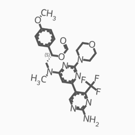 COc1ccc([C@@H](CN(C)c2cc(-c3cnc(N)nc3C(F)(F)F)nc(N3CCOCC3)n2)OC=O)cc1